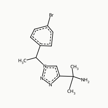 CC(c1ccc(Br)cc1)n1cc(C(C)(C)N)nn1